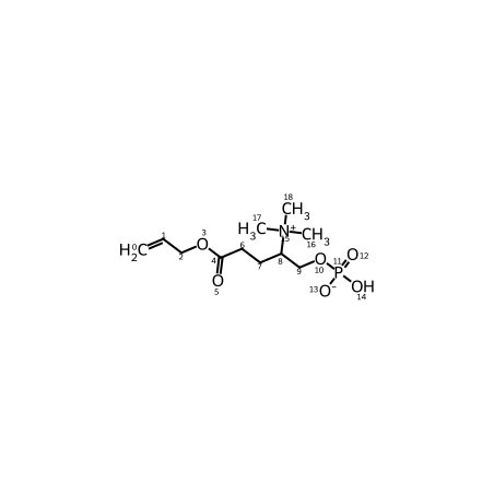 C=CCOC(=O)CCC(COP(=O)([O-])O)[N+](C)(C)C